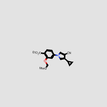 CCOC(=O)c1ccc(-n2cc(C#N)c(C3CC3)c2)cc1OCOC